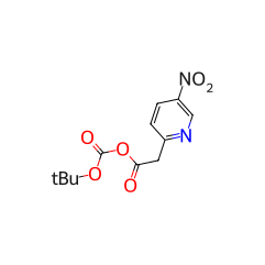 CC(C)(C)OC(=O)OC(=O)Cc1ccc([N+](=O)[O-])cn1